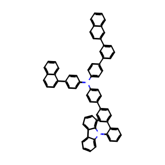 c1cc(-c2ccc(N(c3ccc(-c4ccc(-c5ccccc5-n5c6ccccc6c6ccccc65)cc4)cc3)c3ccc(-c4cccc5ccccc45)cc3)cc2)cc(-c2ccc3ccccc3c2)c1